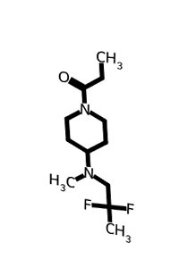 CCC(=O)N1CCC(N(C)CC(C)(F)F)CC1